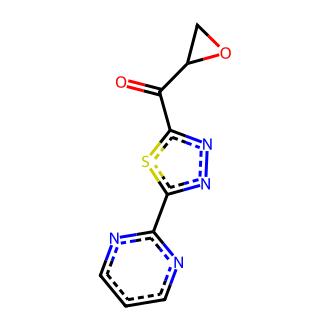 O=C(c1nnc(-c2ncccn2)s1)C1CO1